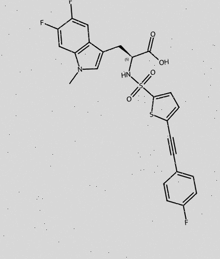 Cn1cc(C[C@H](NS(=O)(=O)c2ccc(C#Cc3ccc(F)cc3)s2)C(=O)O)c2cc(F)c(F)cc21